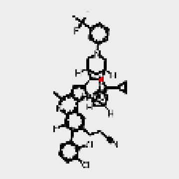 Cc1nc2c(F)c(-c3cccc(Cl)c3Cl)c(CCC#N)cc2c2c1cc([C@H]1[C@H]3C[C@H](CN(c4cccc(C(F)(F)F)c4)C3)N1C(=O)C1CC1)n2[C@H]1[C@H]2CN[C@@H]1C2